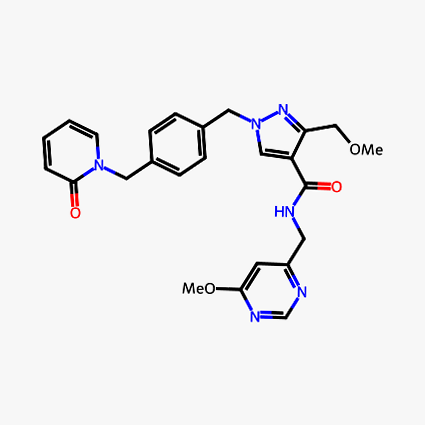 COCc1nn(Cc2ccc(Cn3ccccc3=O)cc2)cc1C(=O)NCc1cc(OC)ncn1